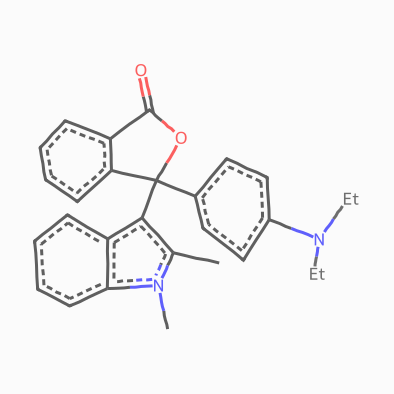 CCN(CC)c1ccc(C2(c3c(C)n(C)c4ccccc34)OC(=O)c3ccccc32)cc1